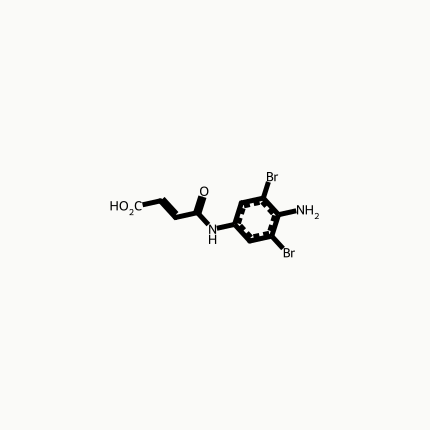 Nc1c(Br)cc(NC(=O)C=CC(=O)O)cc1Br